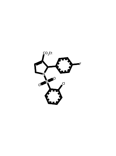 CCOC(=O)C1=CCN(S(=O)(=O)c2ccccc2Cl)C1c1ccc(F)cc1